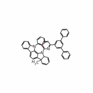 CC12C=CC=CC1N(c1cccc(-c3cc(-c4ccccc4)cc(-c4ccccc4)c3)n1)c1c2ccc2c3ccccc3n(-c3ccccc3)c12